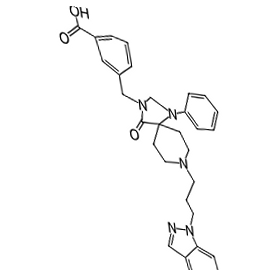 O=C(O)c1cccc(CN2CN(c3ccccc3)C3(CCN(CCCn4ncc5ccccc54)CC3)C2=O)c1